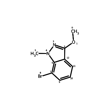 COc1nn(C)c2c(Br)cccc12